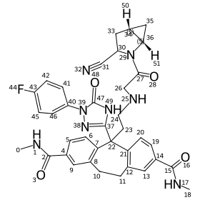 CNC(=O)c1ccc2c(c1)CCc1cc(C(=O)NC)ccc1C2(CCNCC(=O)N1C(C#N)C[C@@H]2C[C@@H]21)c1nn(-c2ccc(F)cc2)c(=O)[nH]1